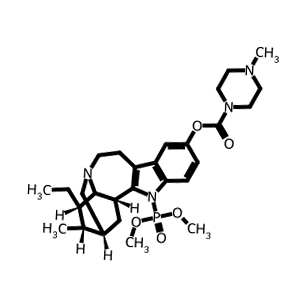 CC[C@@H]1C2[C@H]3C[C@@H](CN2CCc2c3n(P(=O)(OC)OC)c3ccc(OC(=O)N4CCN(C)CC4)cc23)[C@@H]1C